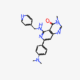 CN(C)c1ccc(-c2cc3ncn(C)c(=O)c3c(NCc3ccncc3)n2)cc1